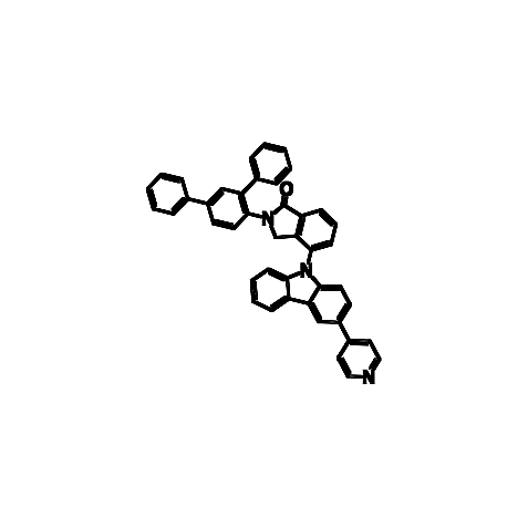 O=C1c2cccc(-n3c4ccccc4c4cc(-c5ccncc5)ccc43)c2CN1c1ccc(-c2ccccc2)cc1-c1ccccc1